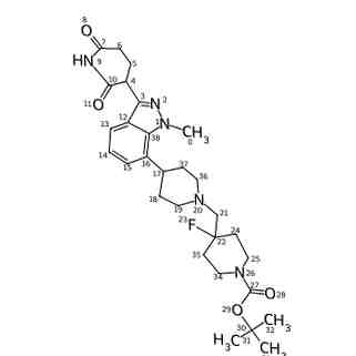 Cn1nc(C2CCC(=O)NC2=O)c2cccc(C3CCN(CC4(F)CCN(C(=O)OC(C)(C)C)CC4)CC3)c21